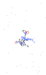 Cc1nn(CCCN2CCOCC2)cc1\N=C/C(=C(\N=C\N)NCCCN1CCCCCC1=O)C(F)(F)F